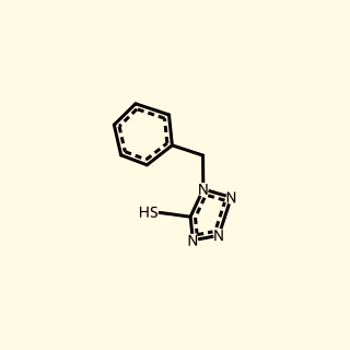 Sc1nnnn1Cc1ccccc1